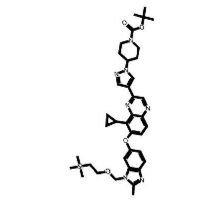 Cc1nc2ccc(Oc3ccc4ncc(-c5cnn(C6CCN(C(=O)OC(C)(C)C)CC6)c5)nc4c3C3CC3)cc2n1COCC[Si](C)(C)C